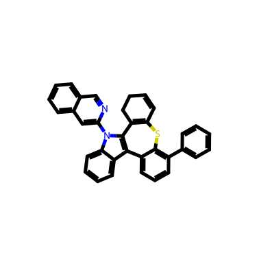 C1=CC2=C(CC1)c1c(c3ccccc3n1-c1cc3ccccc3cn1)-c1cccc(-c3ccccc3)c1S2